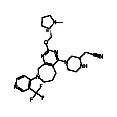 CN1CCC[C@H]1COc1nc2c(c(N3CCNC(CC#N)C3)n1)CCCN(c1ccncc1C(F)(F)F)C2